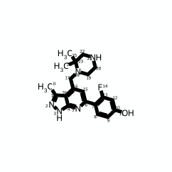 Cc1n[nH]c2nc(-c3ccc(O)cc3F)cc(CN3CCNCC3(C)C)c12